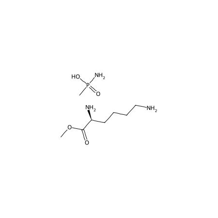 COC(=O)[C@@H](N)CCCCN.CP(N)(=O)O